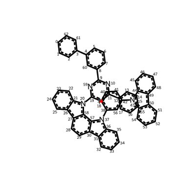 c1ccc(-c2cccc(-c3nc(-c4ccccc4)nc(-n4c5ccccc5c5ccc6c7ccccc7n(-c7cccc(-n8c9ccccc9c9ccccc98)c7)c6c54)n3)c2)cc1